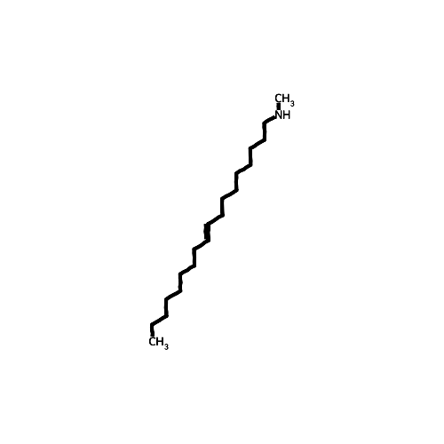 CCCCCCCCC=CCCCCCCCCNC